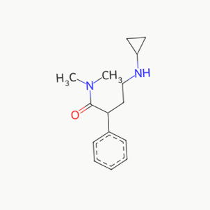 CN(C)C(=O)C(CCNC1CC1)c1ccccc1